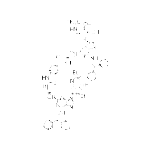 CCC(=O)N[C@H]1C[C@@H](n2cnc3c(NCC(c4ccccc4)c4ccccc4)nc(N4CC[C@@H](NC(=O)Nc5ccc(C(=O)N[C@@H]6CCN(c7nc(NCC(c8ccccc8)c8ccccc8)c8ncn([C@@H]9C[C@H](NC(=O)CC)[C@@H](O)[C@H]9O)c8n7)C6)cc5)C4)nc32)[C@H](O)[C@@H]1O